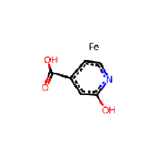 O=C(O)c1ccnc(O)c1.[Fe]